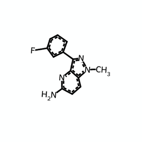 Cn1nc(-c2cccc(F)c2)c2nc(N)ccc21